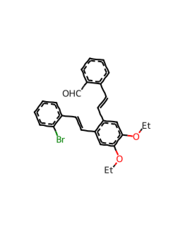 CCOc1cc(C=Cc2ccccc2Br)c(C=Cc2ccccc2C=O)cc1OCC